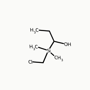 CCC(O)[Si](C)(C)CCl